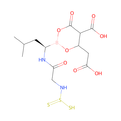 CC(C)C[C@H](NC(=O)CNS(=S)S)B1OC(=O)C(C(=O)O)C(CC(=O)O)O1